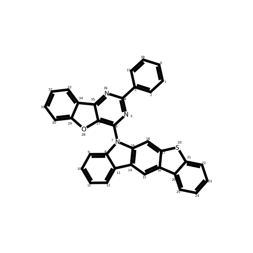 c1ccc(-c2nc(-n3c4ccccc4c4cc5c(cc43)sc3ccccc35)c3oc4ccccc4c3n2)cc1